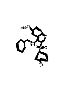 COc1ccc2ncc(S(=O)(=O)c3ccc(Cl)cc3)c(NCc3ccccc3)c2c1